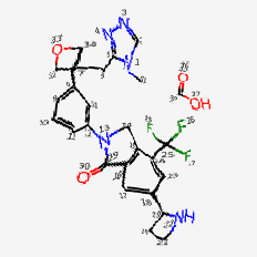 Cn1cnnc1CC1(c2cccc(N3Cc4c(cc([C@@H]5CCN5)cc4C(F)(F)F)C3=O)c2)COC1.O=CO